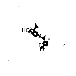 C[C@H](C(=O)O)C(c1cccc(OC[C@H]2C[C@@H]2c2cc(C(F)(F)F)ccc2F)c1)C1CC1